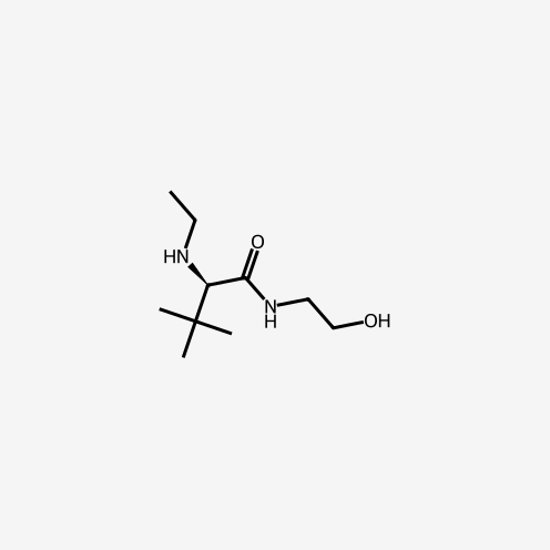 CCN[C@@H](C(=O)NCCO)C(C)(C)C